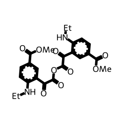 CCNc1ccc(C(=O)OC)cc1C(=O)C(=O)OC(=O)C(=O)c1cc(C(=O)OC)ccc1NCC